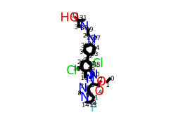 CCOC(=O)C(c1ncn2c1CC(F)C2)n1cc2c(Cl)cc(-c3ccc(N(C)CCN4CC(O)C4)cc3)c(Cl)c2n1